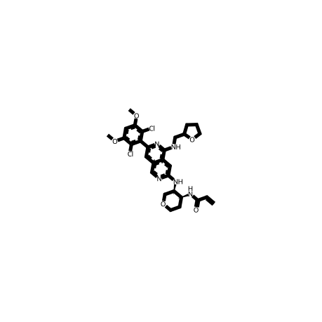 C=CC(=O)N[C@H]1CCOC[C@H]1Nc1cc2c(NCC3CCCO3)nc(-c3c(Cl)c(OC)cc(OC)c3Cl)cc2cn1